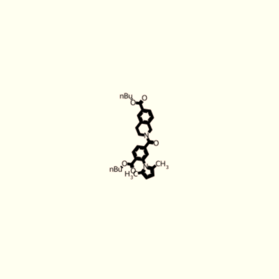 CCCCOC(=O)c1ccc2c(c1)CCN(C(=O)c1ccc(C(=O)OCCCC)c(-n3c(C)ccc3C)c1)C2